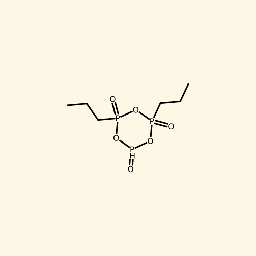 CCCP1(=O)O[PH](=O)OP(=O)(CCC)O1